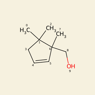 CC1(C)CC=CC1(C)CO